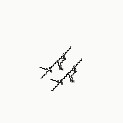 CCCCCCCCOC(CCCCCN(CCCCO)CCCCCCOC(=O)C(CCCCCCCC)SCCCCC)O[Si](C)(C)CCCCCCCC.CCCCCCCCOC(CCCCCN(CCCCO)CCCCCCOC(=O)C(CCCCCCCC)SCCCCC)O[Si](C)(C)CCCCCCCC